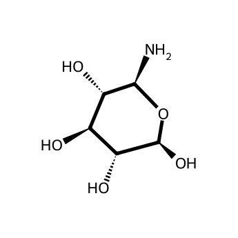 N[C@H]1O[C@@H](O)[C@H](O)[C@@H](O)[C@@H]1O